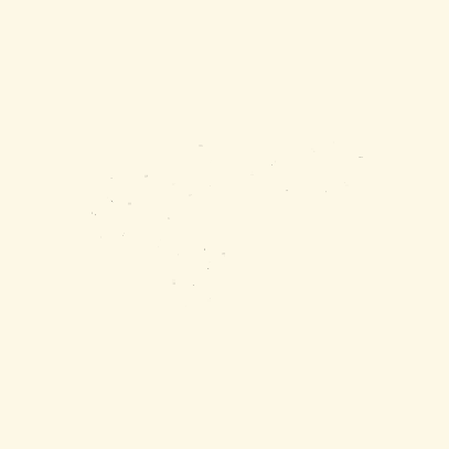 Cn1ncc2cc(B3OC(C)(C)C(C)(C)O3)cc(Oc3ccc(OCCOC4CCOCC4)cc3)c21